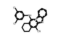 N#Cc1c2c(c(Nc3cc(Cl)cc(Cl)c3)n3c1nc1ccccc13)CCCC2